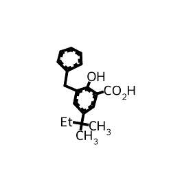 CCC(C)(C)c1cc(Cc2ccccc2)c(O)c(C(=O)O)c1